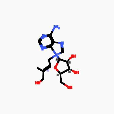 C/C(=C\C[N+]1([C@@H]2O[C@H](CO)[C@@H](O)[C@H]2O)C=Nc2c(N)ncnc21)CO